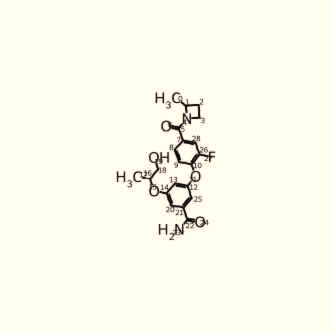 CC1CCN1C(=O)c1ccc(Oc2cc(O[C@@H](C)CO)cc(C(N)=O)c2)c(F)c1